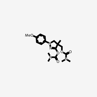 COc1ccc(N2CC(C)(COC(=O)N(C)C)C(OC(=O)N(C)C)=N2)cc1